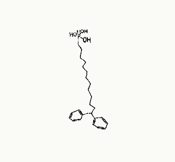 O[PH](O)(O)CCCCCCCCCCCCC(c1ccccc1)c1ccccc1